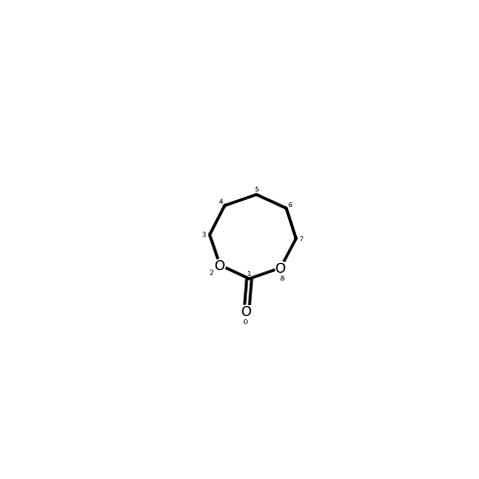 O=C1OCCCCCO1